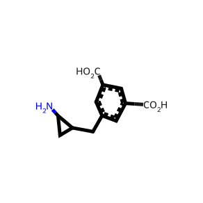 NC1CC1Cc1cc(C(=O)O)cc(C(=O)O)c1